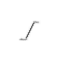 CCCCCCCCCCCCCCCCCCCCCCCCSCCCCCCCCC